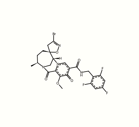 COc1c2n(cc(C(=O)NCc3c(F)cc(F)cc3F)c1=O)[C@@H]1CN(C2=O)[C@@H](C)CC[C@]12CC(Br)=NO2